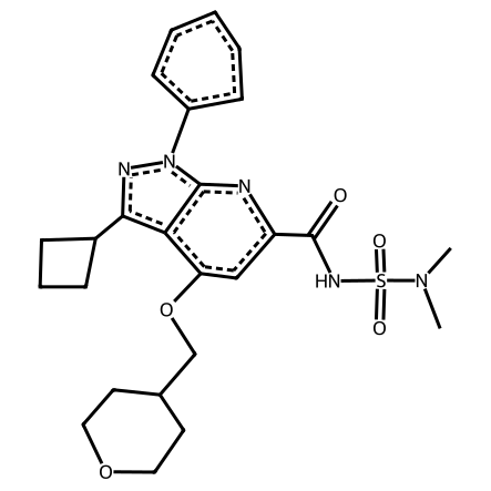 CN(C)S(=O)(=O)NC(=O)c1cc(OCC2CCOCC2)c2c(C3CCC3)nn(-c3ccccc3)c2n1